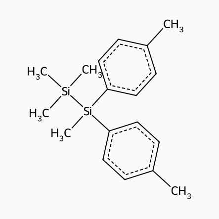 Cc1ccc([Si](C)(c2ccc(C)cc2)[Si](C)(C)C)cc1